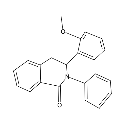 COc1ccccc1C1Cc2ccccc2C(=O)N1c1ccccc1